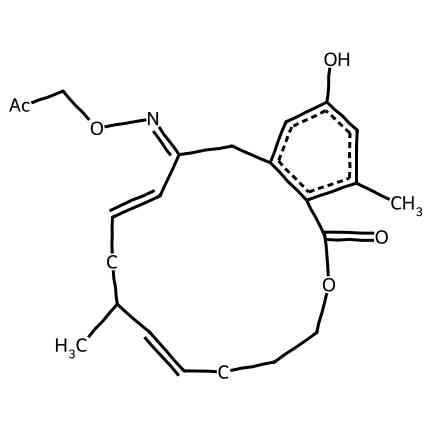 CC(=O)CO/N=C1\C=C\CC(C)/C=C/CCCOC(=O)c2c(C)cc(O)cc2C1